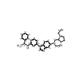 CC(C)CN(CC1CCCN1CC(C)C)c1ccc2c(c1)ncn2-c1ccnc(N[C@@H](C)c2ccccc2)n1